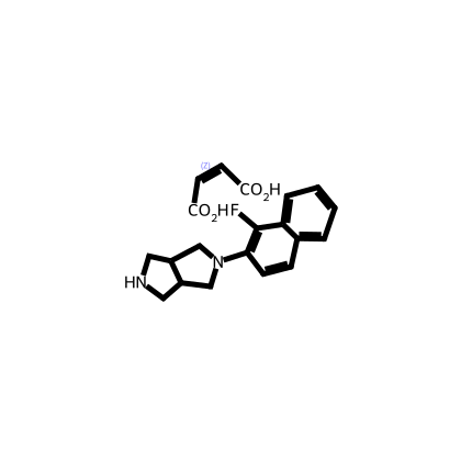 Fc1c(N2CC3CNCC3C2)ccc2ccccc12.O=C(O)/C=C\C(=O)O